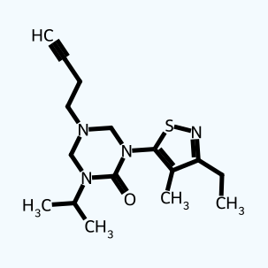 C#CCCN1CN(c2snc(CC)c2C)C(=O)N(C(C)C)C1